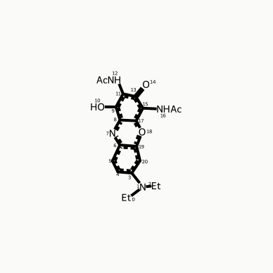 CCN(CC)c1ccc2nc3c(O)c(NC(C)=O)c(=O)c(NC(C)=O)c-3oc2c1